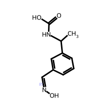 CC(NC(=O)O)c1cccc(/C=N\O)c1